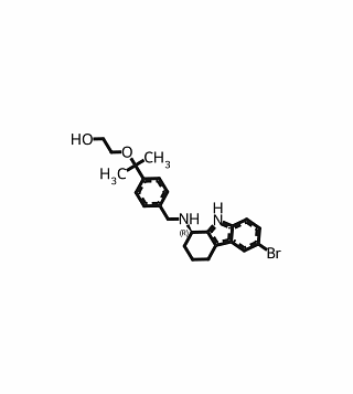 CC(C)(OCCO)c1ccc(CN[C@@H]2CCCc3c2[nH]c2ccc(Br)cc32)cc1